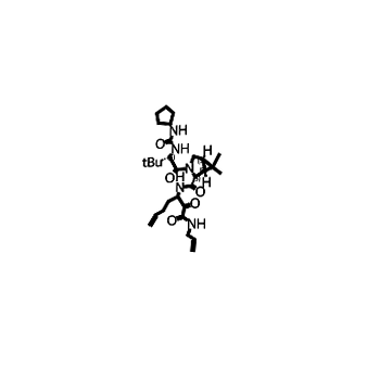 C=CCCC(NC(=O)[C@@H]1[C@@H]2[C@H](CN1C(=O)[C@@H](NC(=O)NC1CCCC1)C(C)(C)C)C2(C)C)C(=O)C(=O)NCC=C